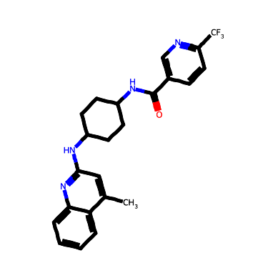 Cc1cc(NC2CCC(NC(=O)c3ccc(C(F)(F)F)nc3)CC2)nc2ccccc12